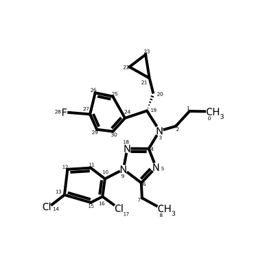 CCCN(c1nc(CC)n(-c2ccc(Cl)cc2Cl)n1)[C@@H](CC1CC1)c1ccc(F)cc1